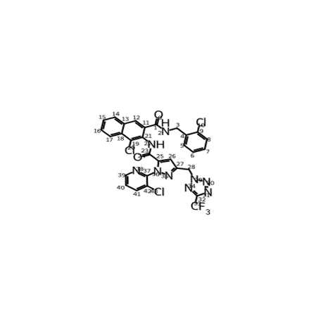 O=C(NCc1ccccc1Cl)c1cc2ccccc2c(Cl)c1NC(=O)c1cc(Cn2nnc(C(F)(F)F)n2)nn1-c1ncccc1Cl